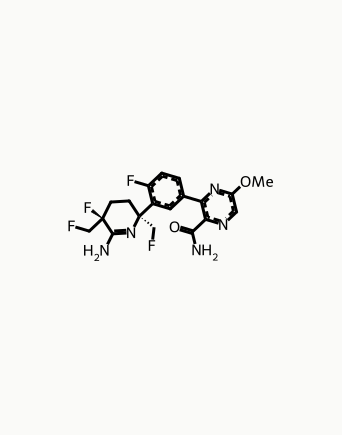 COc1cnc(C(N)=O)c(-c2ccc(F)c([C@]3(CF)CC[C@@](F)(CF)C(N)=N3)c2)n1